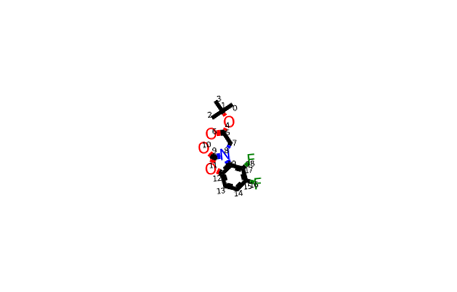 CC(C)(C)OC(=O)Cn1c(=O)oc2ccc(F)c(F)c21